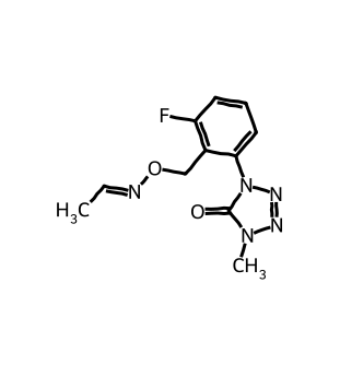 CC=NOCc1c(F)cccc1-n1nnn(C)c1=O